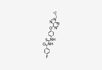 O=C(NC(=S)Nc1ccc(Oc2ncnc3c2ncn3CC2CC2)cc1)c1ccc(F)cc1